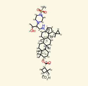 CC(O)C(CN[C@]12CC[C@@H](C3(C)CC3)[C@@H]1[C@H]1CC[C@@H]3[C@@]4(C)CC[C@H](OC(=O)[C@H]5C[C@@H](C(=O)O)C5(C)C)C(C)(C)[C@@H]4CC[C@@]3(C)[C@]1(C)CC2)N1CCN(S(=O)(=O)C(C)C)CC1